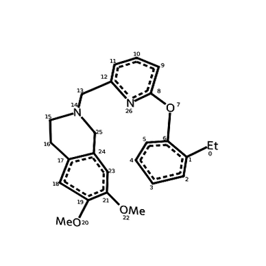 CCc1ccccc1Oc1cccc(CN2CCc3cc(OC)c(OC)cc3C2)n1